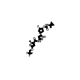 Cn1nc(OCC(F)(F)F)cc1C(=O)Nc1cc([C@H]2C[C@@H](F)[C@@H](OC(=O)NC3(C)CC3)C2)[nH]n1